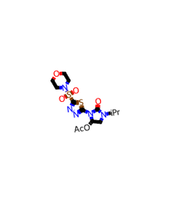 CC(=O)OC1CN(C(C)C)C(=O)N1c1nnc(S(=O)(=O)N2CCOCC2)s1